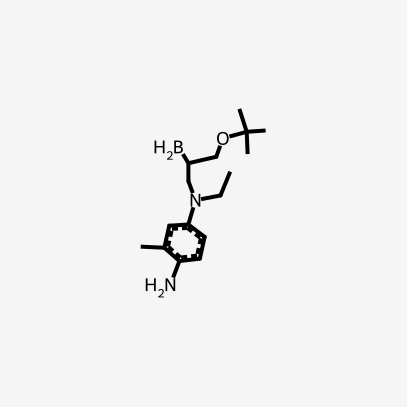 BC(COC(C)(C)C)CN(CC)c1ccc(N)c(C)c1